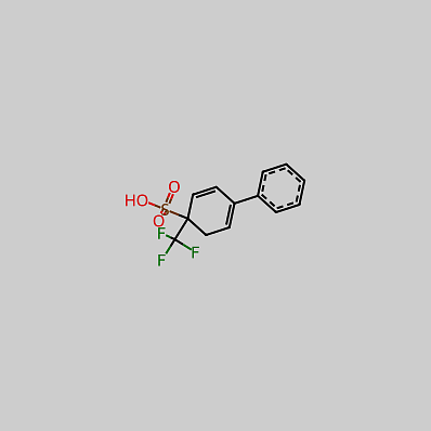 O=S(=O)(O)C1(C(F)(F)F)C=CC(c2ccccc2)=CC1